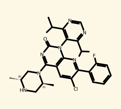 CC(C)c1ncnc(C(C)C)c1-n1c(=O)nc(N2C[C@@H](C)NC[C@@H]2C)c2cc(Cl)c(-c3ccccc3F)nc21